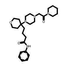 O=C(CCCC1(N2CCN(CC(=O)N3CCCCC3)CC2)CCOCC1)Nc1ccccc1